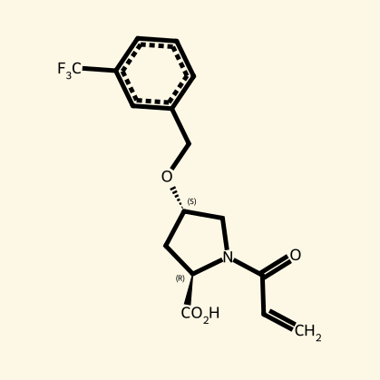 C=CC(=O)N1C[C@@H](OCc2cccc(C(F)(F)F)c2)C[C@@H]1C(=O)O